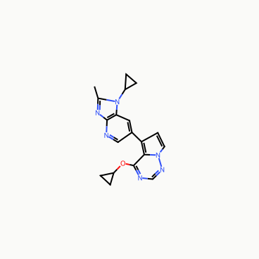 Cc1nc2ncc(-c3ccn4ncnc(OC5CC5)c34)cc2n1C1CC1